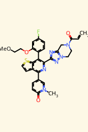 C=CC(=O)N1CCn2nc(-c3nc(-c4ccc(=O)n(C)c4)c4ccsc4c3-c3ccc(F)cc3OCCOC)nc2C1